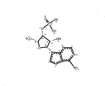 C[C@H]1O[C@@H](n2cnc3c(N)ncnc32)[C@@H](O)[C@H]1OP(=O)(O)O